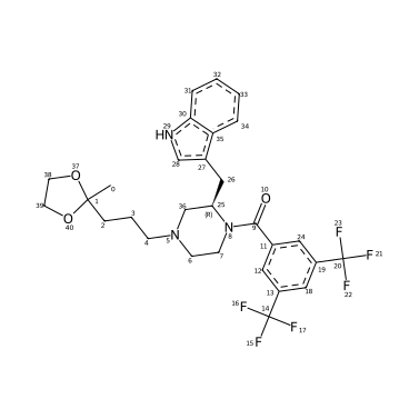 CC1(CCCN2CCN(C(=O)c3cc(C(F)(F)F)cc(C(F)(F)F)c3)[C@H](Cc3c[nH]c4ccccc34)C2)OCCO1